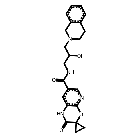 O=C(NCC(O)CN1CCc2ccccc2C1)c1cnc2c(c1)NC(=O)C1(CC1)O2